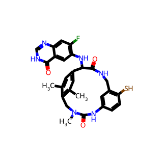 Cc1cc2cc(C)c1CN(C)C(=O)Nc1ccc(S)c(c1)CNC(=O)C2Nc1cc2c(=O)[nH]cnc2cc1F